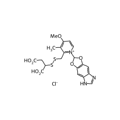 COc1cc[n+](C2Oc3cc4nc[nH]c4cc3O2)c(CSSC(CC(=O)O)C(=O)O)c1C.[Cl-]